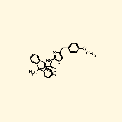 COc1ccc(Cc2csc(NC(=O)C3(C)CC4(C)c5ccccc5C3c3ccccc34)n2)cc1